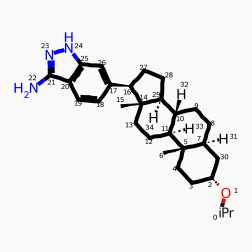 CC(C)O[C@@H]1CC[C@@]2(C)[C@@H](CC[C@@H]3[C@@H]2CC[C@]2(C)[C@@H](c4ccc5c(N)n[nH]c5c4)CC[C@@H]32)C1